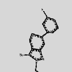 CCn1nc2cc(-c3cccc(F)c3)ccc2c1Br